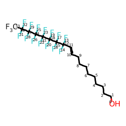 OCCCCCCCCC/C=C/C(F)(F)C(F)(F)C(F)(F)C(F)(F)C(F)(F)C(F)(F)C(F)(F)C(F)(F)F